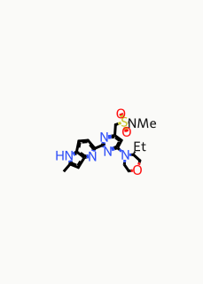 CC[C@H]1COCCN1c1cc(CS(=O)(=O)NC)nc(-c2ccc3[nH]c(C)cc3n2)n1